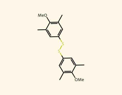 COc1c(C)cc(SSc2cc(C)c(OC)c(C)c2)cc1C